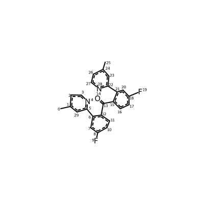 Cc1ccnc(-c2cc(F)ccc2C(=O)c2ccc(F)cc2-c2cc(C)ccn2)c1